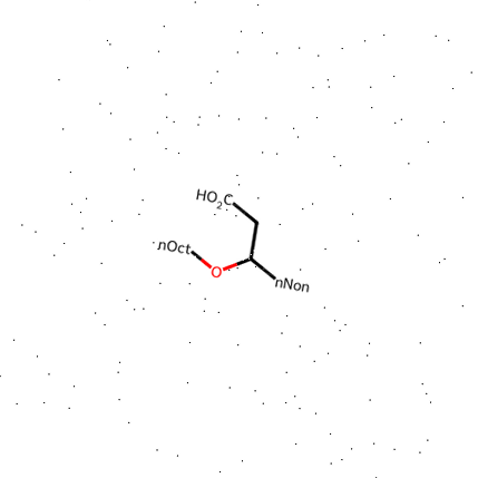 CCCCCCCCCC(CC(=O)O)OCCCCCCCC